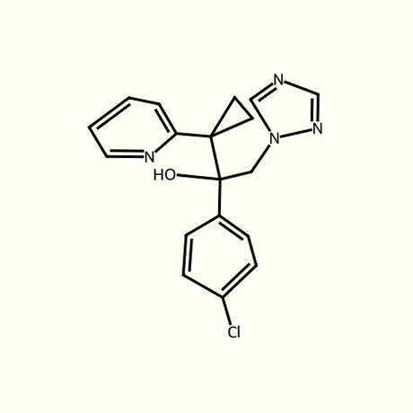 OC(Cn1cncn1)(c1ccc(Cl)cc1)C1(c2ccccn2)CC1